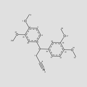 COc1ccc(C(CC#N)c2ccc(OC)c(OC)c2)cc1OC